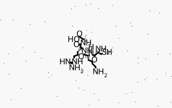 C[C@H](NC(=O)[C@H](CCCNC(=N)N)NC(=O)[C@H](CCCCN)NC(=O)[C@@H](N)CS)C(=O)O